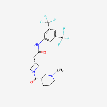 CN1CCCC(C(=O)N2CC(CC(=O)Nc3cc(C(F)(F)F)cc(C(F)(F)F)c3)C2)C1